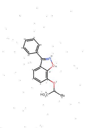 CC(C)(C)C(Oc1cccc2c(-c3ccccc3)noc12)C(=O)O